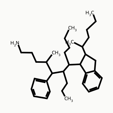 CCCCC(C)C1Cc2ccccc2C1C(CCCC)C(CCC)C(c1ccccc1)C(C)CCCN